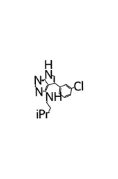 CC(C)CCNc1ncnc2[nH]cc(-c3cccc(Cl)c3)c12